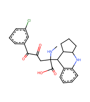 CNC(CC(=O)C(=O)c1cccc(Cl)c1)(C(=O)O)C1c2ccccc2NC2CCCC21